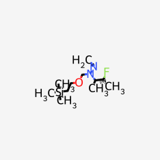 C=NN(COCC[Si](C)(C)C)C(C)[C@@H](C)F